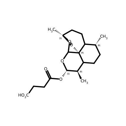 C[C@@H]1CCC2[C@@H](C)[C@H](OC(=O)CCC(=O)O)OC3O[C@]4(C)CCC1[C@]32OO4